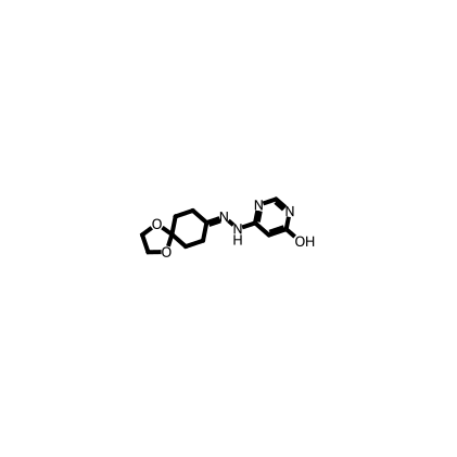 Oc1cc(NN=C2CCC3(CC2)OCCO3)ncn1